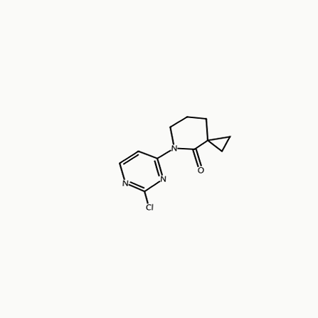 O=C1N(c2ccnc(Cl)n2)CCCC12CC2